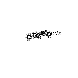 COc1ccc2c(c1)sc1nc(C(=O)Nc3ccc(-c4ccccc4)cn3)cn12